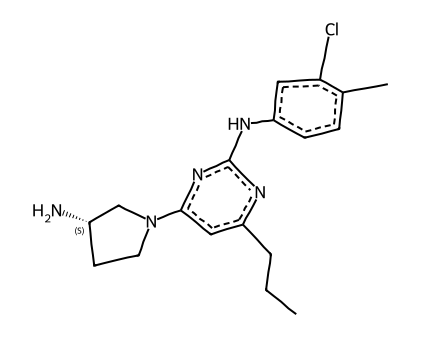 CCCc1cc(N2CC[C@H](N)C2)nc(Nc2ccc(C)c(Cl)c2)n1